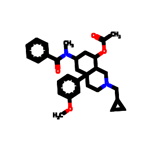 COc1cccc(C23CCN(CC4CC4)CC2C(OC(C)=O)CC(N(C)C(=O)c2ccccc2)C3)c1